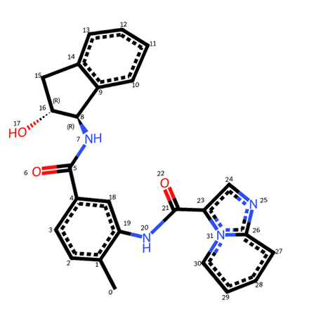 Cc1ccc(C(=O)N[C@@H]2c3ccccc3C[C@H]2O)cc1NC(=O)c1cnc2ccccn12